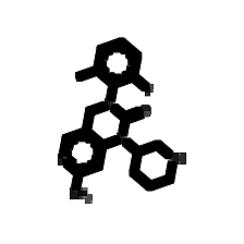 Cc1cccc(F)c1N1Cc2cnc(N)cc2N(C2CCCNC2)C1=O